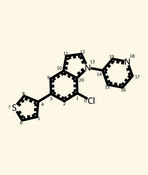 Clc1cc(-c2ccsc2)cc2ccn(-c3cccnc3)c12